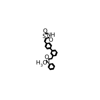 CN(C(=O)Cc1cccc(-c2ccc(/C=C3/SC(=O)NC3=O)cc2)c1)c1ccccc1